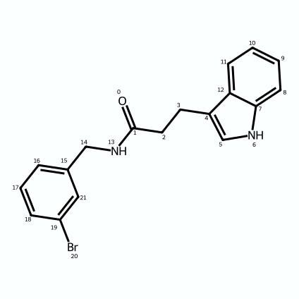 O=C(CCc1c[nH]c2ccccc12)NCc1cccc(Br)c1